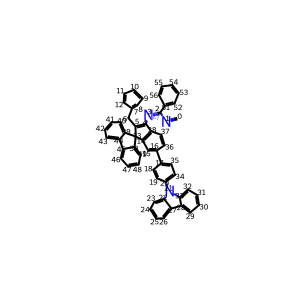 C=N/C(=N\C1=C(Cc2ccccc2)C2(c3cc(-c4ccc(-n5c6ccccc6c6ccccc65)cc4)ccc31)c1ccccc1-c1ccccc12)c1ccccc1